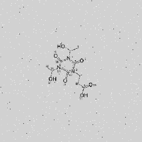 CC(O)n1c(=O)n(CCC(=O)O)c(=O)n(C(C)O)c1=O